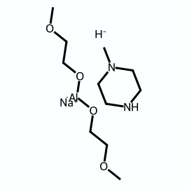 CN1CCNCC1.COCC[O][Al][O]CCOC.[H-].[Na+]